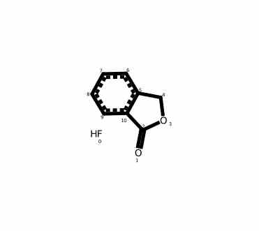 F.O=C1OCc2ccccc21